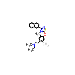 CCN(C)CCc1cc(C)c(Oc2nc(-c3ccc4ccccc4c3)ns2)cc1C